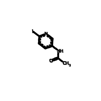 CC(=O)Nc1ccc(I)nc1